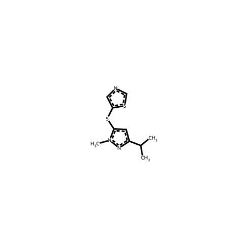 CC(C)c1cc(Sc2cncs2)n(C)n1